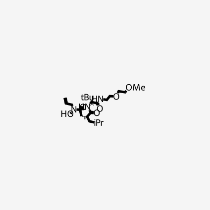 C=CCN(O)C(=O)C[C@@H](CC(C)C)C(=O)N[C@H](C(=O)NCCOCCOC)C(C)(C)C